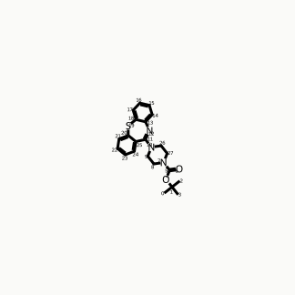 CC(C)(C)OC(=O)N1CCN(C2=Nc3ccccc3Sc3ccccc32)CC1